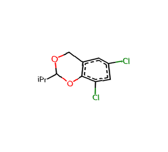 CC(C)C1OCc2cc(Cl)cc(Cl)c2O1